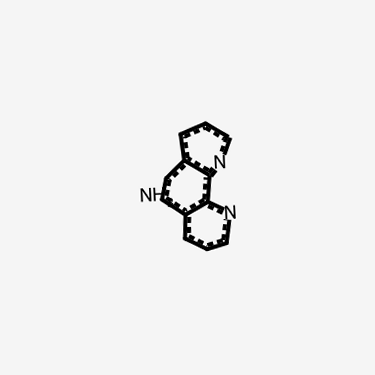 N.c1cnc2c(c1)ccc1cccnc12